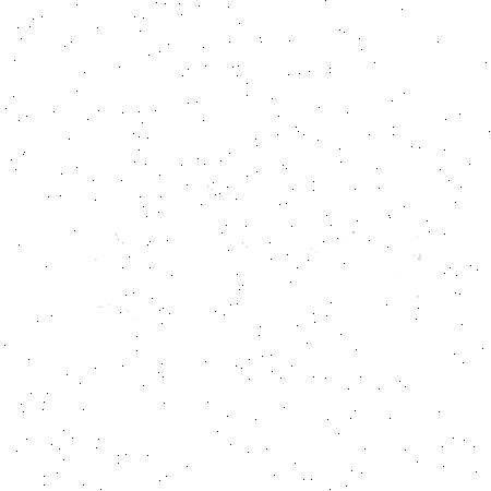 CCn1nc(COc2cccc([C@@H](NC(=O)O[C@H]3CN4CCC3CC4)c3ccccc3)c2)cc1C(=O)N(C)CCCNC[C@H](O)c1ccc(O)c2[nH]c(=O)ccc12